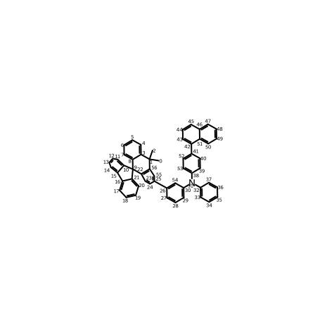 CC1(C)c2ccccc2C2(c3ccccc3-c3ccccc32)c2ccc(-c3cccc(N(c4ccccc4)c4ccc(-c5cccc6ccccc56)cc4)c3)cc21